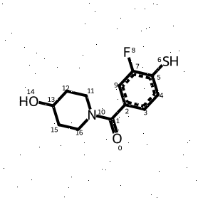 O=C(c1ccc(S)c(F)c1)N1CCC(O)CC1